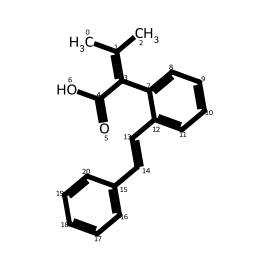 CC(C)=C(C(=O)O)c1ccccc1/C=C/c1ccccc1